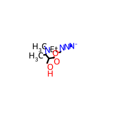 CCN(C)C(C)C(CO)C(=O)OCN=[N+]=[N-]